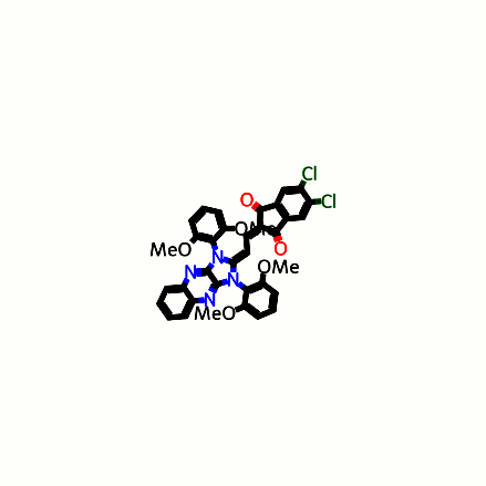 COc1cccc(OC)c1N1C(=CC=C2C(=O)c3cc(Cl)c(Cl)cc3C2=O)N(c2c(OC)cccc2OC)c2nc3ccccc3nc21